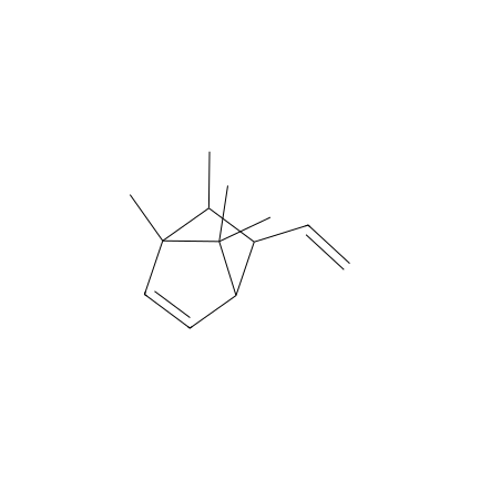 C=CC1C2C=CC(C)(C1C)C2(C)C